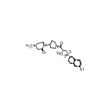 CN1CCN(C2CCN(C(=O)[C@H](O)CS(=O)(=O)c3ccc4cc(Cl)ccc4c3)CC2)C(=O)C1